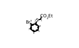 CCOC(=O)CSc1ccccc1Br